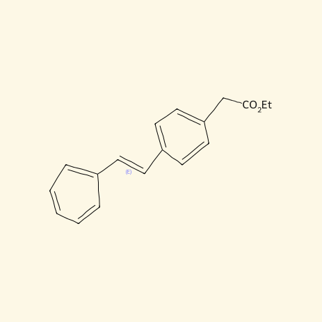 CCOC(=O)Cc1ccc(/C=C/c2ccccc2)cc1